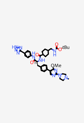 COc1nc(N2CCN(C)CC2)ncc1-c1ccc(C[C@H](NC(=O)C2CCC(CNC(=O)OC(C)(C)C)CC2)C(=O)Nc2ccc(-c3nn[nH]n3)cc2)cc1